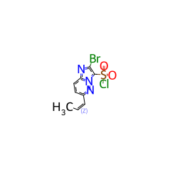 C/C=C\c1ccc2nc(Br)c(S(=O)(=O)Cl)n2n1